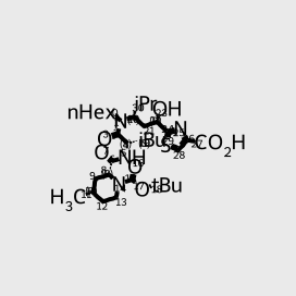 CCCCCCN(C(=O)[C@@H](NC(=O)[C@H]1C[C@H](C)CCN1C(=O)OC(C)(C)C)[C@@H](C)CC)[C@H](C[C@@H](O)c1nc(C(=O)O)cs1)C(C)C